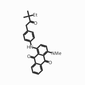 CCC(C)(C)C(=O)Cc1ccc(Nc2ccc(NC)c3c2C(=O)c2ccccc2C3=O)cc1